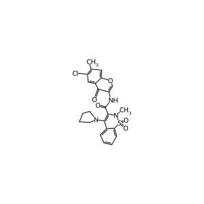 Cc1cc2occ(NC(=O)C3=C(N4CCCC4)c4ccccc4S(=O)(=O)N3C)c(=O)c2cc1Cl